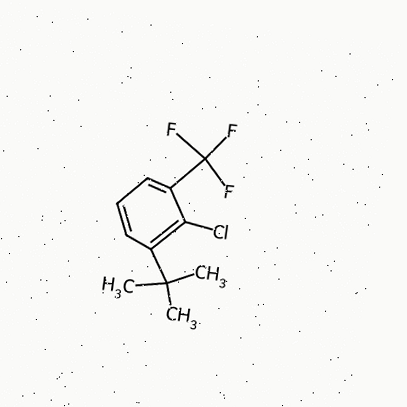 CC(C)(C)c1cccc(C(F)(F)F)c1Cl